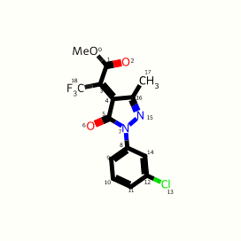 COC(=O)/C(=C1/C(=O)N(c2cccc(Cl)c2)N=C1C)C(F)(F)F